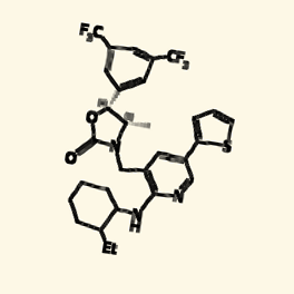 CCC1CCCCC1Nc1ncc(-c2cccs2)cc1CN1C(=O)O[C@H](c2cc(C(F)(F)F)cc(C(F)(F)F)c2)[C@@H]1C